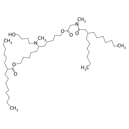 CCCCCCCCC(CCCCCC)C(=O)OCCCCCC(CCCCCOC(=O)CN(C)C(=O)CC(CCCCCCC)CCCCCCC)N(C)CCCCO